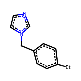 CCc1ccc(Cn2ccnc2)cc1